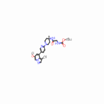 CCOc1cc(-c2ccc(N3CCC(C)(NC(=O)CNC(=O)OC(C)(C)C)CC3)nc2)c2c(C#N)cnn2c1